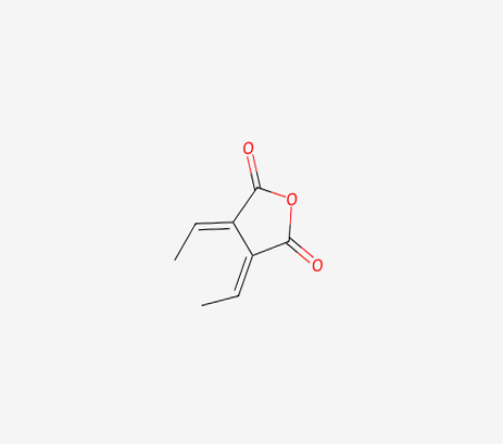 C/C=C1/C(=O)OC(=O)/C1=C/C